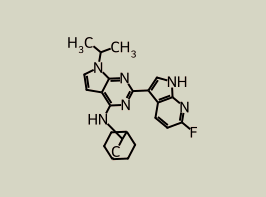 CC(C)n1ccc2c(NC3CC4CCC3CC4)nc(-c3c[nH]c4nc(F)ccc34)nc21